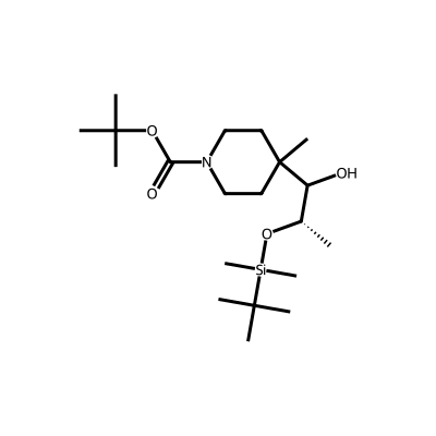 C[C@H](O[Si](C)(C)C(C)(C)C)C(O)C1(C)CCN(C(=O)OC(C)(C)C)CC1